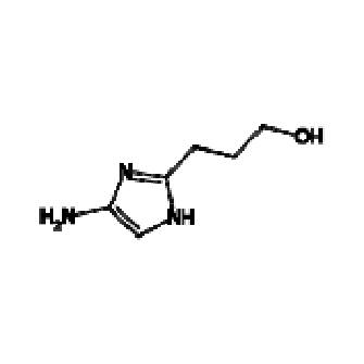 Nc1c[nH]c(CCCO)n1